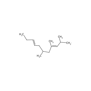 [CH2]C(C)/C=C(\C)CC(C)C/C=C/CC